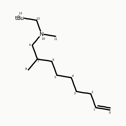 C=CCCCCCC(C)CN(C)CC(C)(C)C